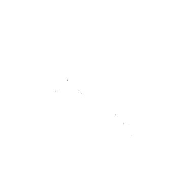 Cc1c(B2OC(C)(C)C(C)(C)O2)cccc1N1C(=O)Cc2c(F)cccc2C1=O